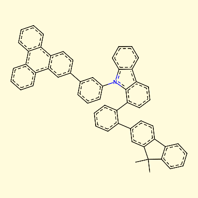 CC1(C)c2ccccc2-c2ccc(-c3ccccc3-c3cccc4c5ccccc5n(-c5cccc(-c6ccc7c8ccccc8c8ccccc8c7c6)c5)c34)cc21